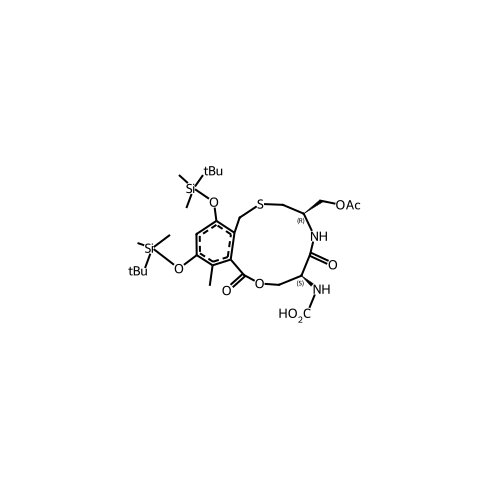 CC(=O)OC[C@@H]1CSCc2c(O[Si](C)(C)C(C)(C)C)cc(O[Si](C)(C)C(C)(C)C)c(C)c2C(=O)OC[C@H](NC(=O)O)C(=O)N1